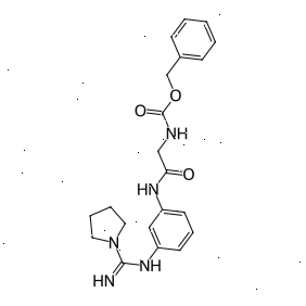 N=C(Nc1cccc(NC(=O)CNC(=O)OCc2ccccc2)c1)N1CCCC1